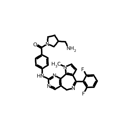 Cn1ccc2c1-c1nc(Nc3ccc(C(=O)N4CCC(CN)C4)cc3)ncc1CN=C2c1c(F)cccc1F